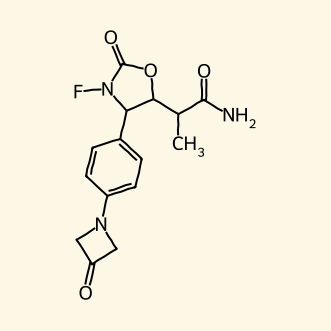 CC(C(N)=O)C1OC(=O)N(F)C1c1ccc(N2CC(=O)C2)cc1